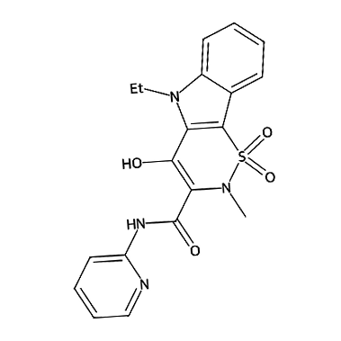 CCn1c2c(c3ccccc31)S(=O)(=O)N(C)C(C(=O)Nc1ccccn1)=C2O